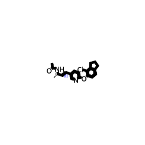 CC(=O)N[C@@H](C)/C=C/c1ccc(Oc2ccc3c(c2Cl)CCC3)nc1